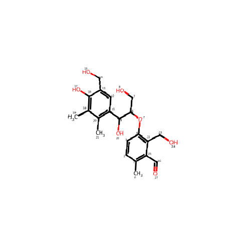 Cc1ccc(OC(CO)C(O)c2cc(CO)c(O)c(C)c2C)c(CO)c1C=O